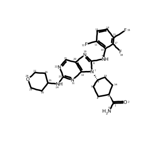 NC(=O)[C@H]1CC[C@H](n2c(Nc3c(F)ccc(F)c3F)nc3cnc(NC4CCOCC4)nc32)CC1